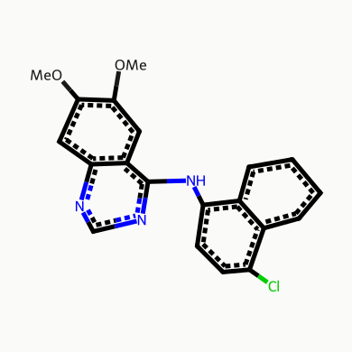 COc1cc2ncnc(Nc3ccc(Cl)c4ccccc34)c2cc1OC